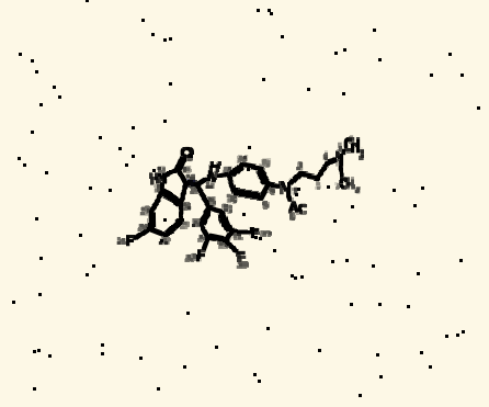 CC(=O)N(CCCN(C)C)c1ccc(N/C(=C2\C(=O)Nc3cc(F)ccc32)c2cc(F)c(F)c(F)c2)cc1